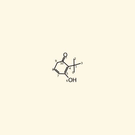 CC(C)(C)C1=C(O)C=CCC1=O